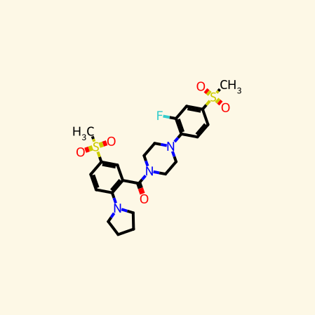 CS(=O)(=O)c1ccc(N2CCN(C(=O)c3cc(S(C)(=O)=O)ccc3N3CCCC3)CC2)c(F)c1